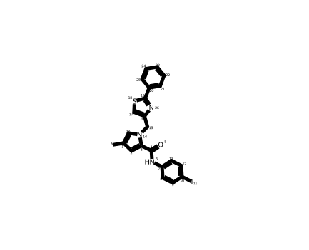 Cc1cc(C(=O)Nc2ccc(I)cc2)n(Cc2csc(-c3ccccc3)n2)c1